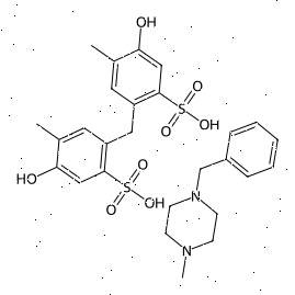 CN1CCN(Cc2ccccc2)CC1.Cc1cc(Cc2cc(C)c(O)cc2S(=O)(=O)O)c(S(=O)(=O)O)cc1O